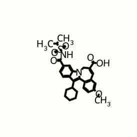 COc1ccc2c(c1)C=C(C(=O)O)Cn1c-2c(C2CCCCC2)c2ccc(C(=O)NS(=O)(=O)C(C)C)cc21